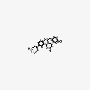 CCN(CC)c1ccc(CC(Cc2ccc(Cl)cc2)N2CCNCC2)cc1